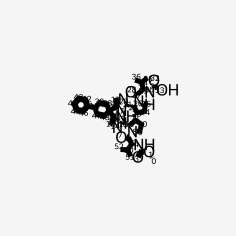 COC(=O)N[C@H](C(=O)N1CCC[C@H]1c1ncc(C2(c3cnc([C@@H]4CCCN4C(=O)[C@@H](NC(=O)O)C(C)C)[nH]3)C=CC(c3ccccc3)C=C2)[nH]1)C(C)C